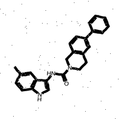 Cc1ccc2[nH]cc(NC(=O)N3CCc4cc(-c5ccccc5)ccc4C3)c2c1